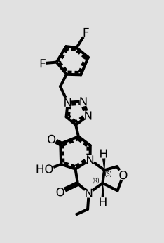 CCN1C(=O)c2c(O)c(=O)c(-c3cn(Cc4ccc(F)cc4F)nn3)cn2[C@@H]2COC[C@@H]21